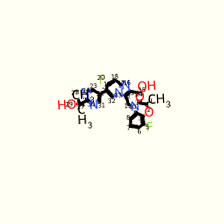 C[C@H]1Oc2c(F)cccc2N(Cc2c(CO)nc3cc(F)c(-c4cnc(C(C)(C)O)nc4)cn23)C1=O